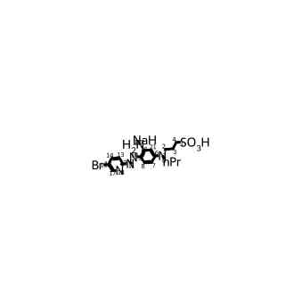 CCCN(CCCS(=O)(=O)O)c1ccc(/N=N/c2ccc(Br)cn2)c(N)c1.[NaH]